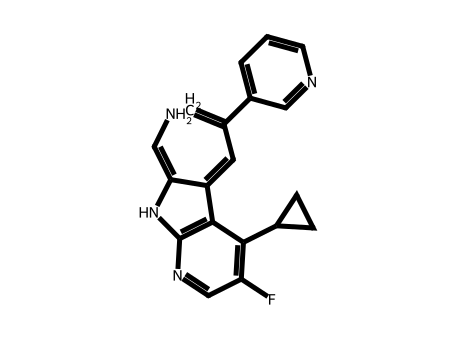 C=C(/C=c1\c(=C/N)[nH]c2ncc(F)c(C3CC3)c12)c1cccnc1